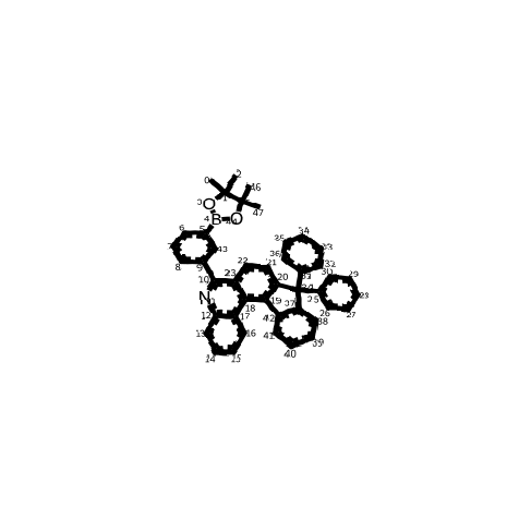 CC1(C)OB(c2cccc(-c3nc4ccccc4c4c5c(ccc34)C(c3ccccc3)(c3ccccc3)c3ccccc3-5)c2)OC1(C)C